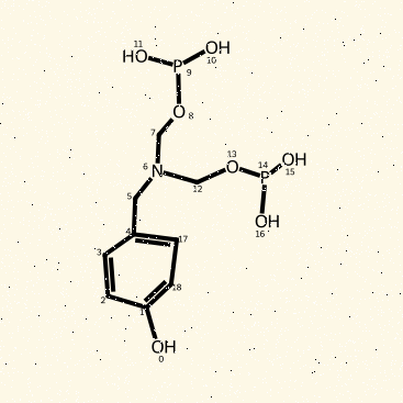 Oc1ccc(CN(COP(O)O)COP(O)O)cc1